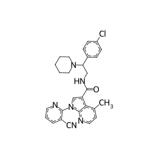 Cc1ccnc2c1c(C(=O)NCC(c1ccc(Cl)cc1)N1CCCCC1)cn2-c1ncccc1C#N